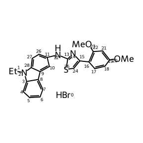 Br.CCn1c2ccccc2c2cc(Nc3nc(-c4ccc(OC)cc4OC)cs3)ccc21